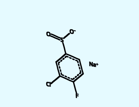 O=S([O-])c1ccc(F)c(Cl)c1.[Na+]